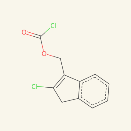 O=C(Cl)OCC1=C(Cl)Cc2ccccc21